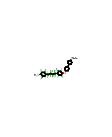 COc1ccc(-c2ccc(Oc3c(F)c(F)c(C(F)(F)C(F)(F)C(F)(F)C(F)(F)c4c(F)c(F)c(C)c(F)c4F)c(F)c3F)cc2)cc1